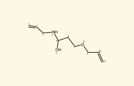 C=CCNC(O)CCOCC=C